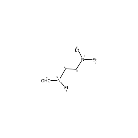 [CH2]CN(CC)CCN(C=O)CC